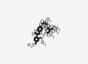 CCc1ccc(-c2cc3ccc(OC(C)(C)CC(C)(C)OC(=O)C(CC(C)(C)C)C(C)(C)C)cc3oc2=O)c(CC)c1